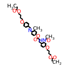 C=CC(=O)OCCCCOc1ccc(/C=N/c2ccc(OC(=O)/C=C/c3ccc(OCCCCOC(=O)C=C)cc3NC(C)=O)cc2C)cc1